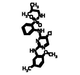 COc1ccc(C)cc1Nc1ncc(Cl)c(Nc2ccccc2S(=O)(=O)NCC(C)C)n1